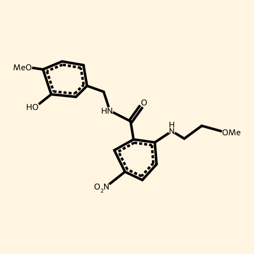 COCCNc1ccc([N+](=O)[O-])cc1C(=O)NCc1ccc(OC)c(O)c1